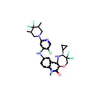 CC1CN(c2cc(Nc3ccc4c(c3)c3c(c(=O)n4C)OCC(F)(F)[C@H](C4CC4)N3)c(Cl)cn2)CC(C)C1(F)F